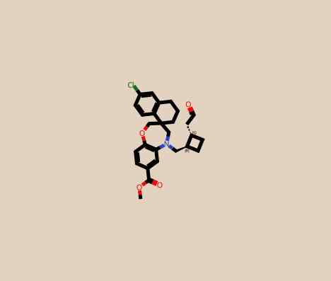 COC(=O)c1ccc2c(c1)N(C[C@@H]1CC[C@H]1CC=O)CC1(CCCc3cc(Cl)ccc31)CO2